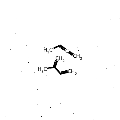 C=C=CC.C=CC(=C)C